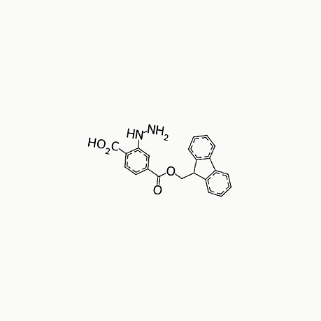 NNc1cc(C(=O)OCC2c3ccccc3-c3ccccc32)ccc1C(=O)O